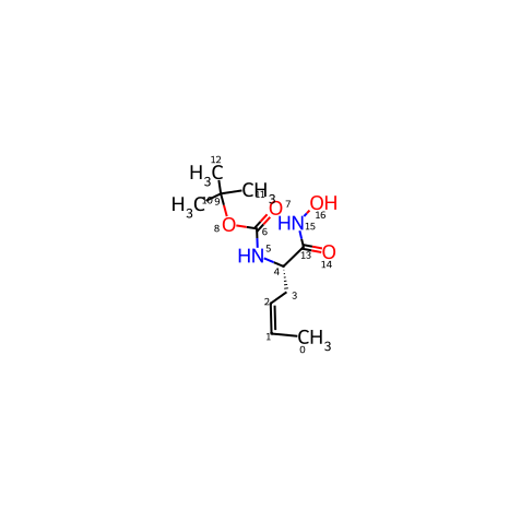 C/C=C\C[C@H](NC(=O)OC(C)(C)C)C(=O)NO